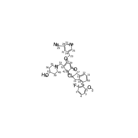 COc1cccc(F)c1-c1cccc2c1CC[C@@H]2Oc1cc(OCc2cncc(C#N)c2)c(CN2CCC(O)CC2)cc1Cl